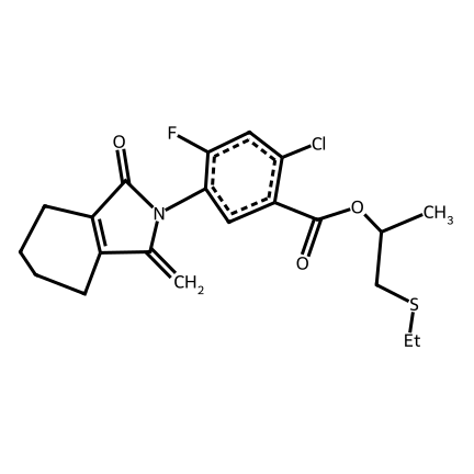 C=C1C2=C(CCCC2)C(=O)N1c1cc(C(=O)OC(C)CSCC)c(Cl)cc1F